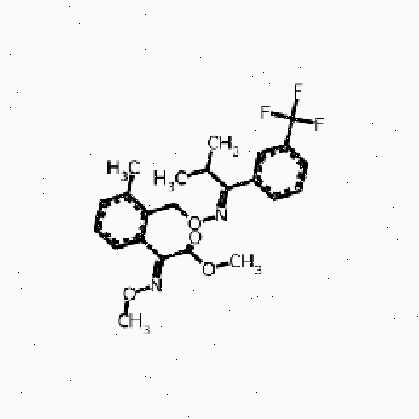 CO/N=C(/C(=O)OC)c1cccc(C)c1CO/N=C(/c1cccc(C(F)(F)F)c1)C(C)C